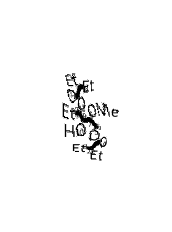 CCC(CC)C(=O)OCC(OC)C(O)C(CC)OC(=O)C(CC)CC